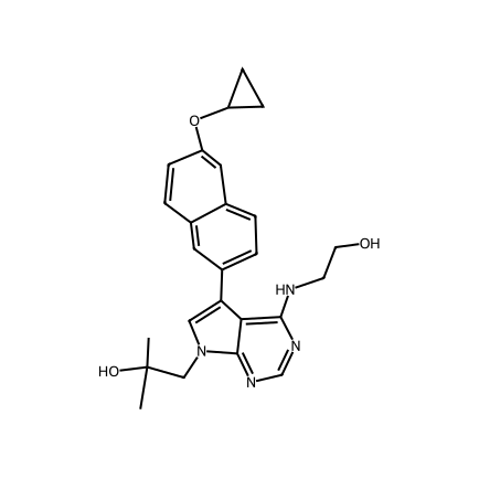 CC(C)(O)Cn1cc(-c2ccc3cc(OC4CC4)ccc3c2)c2c(NCCO)ncnc21